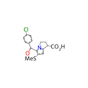 CSc1cc2n(c1C(=O)c1ccc(Cl)cc1)CCC2C(=O)O